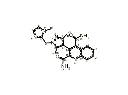 Cc1nn(Cc2nccn2C)c(C)c1-c1c(C(N)=O)nc2ccccc2c1C(N)=O